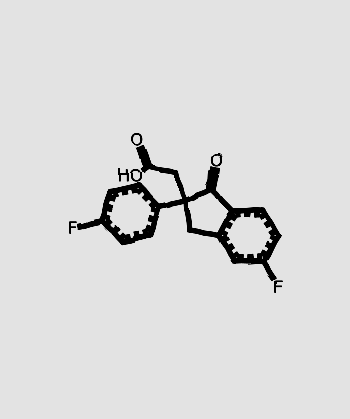 O=C(O)CC1(c2ccc(F)cc2)Cc2cc(F)ccc2C1=O